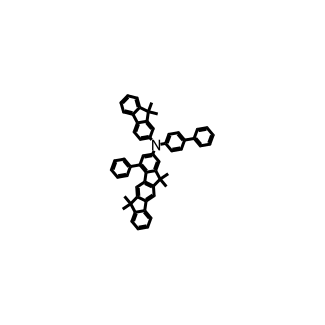 CC1(C)c2ccccc2-c2ccc(N(c3ccc(-c4ccccc4)cc3)c3cc(-c4ccccc4)c4c(c3)C(C)(C)c3cc5c(cc3-4)C(C)(C)c3ccccc3-5)cc21